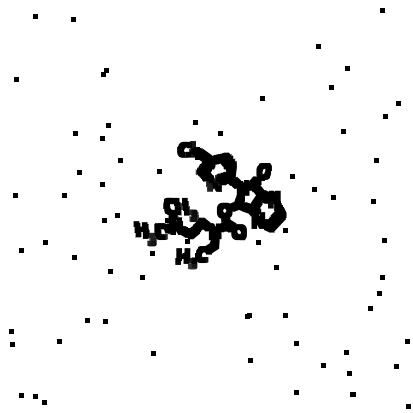 CCN(CCN(C)C)C(=O)OC1c2nccnc2C(=O)N1c1ccc(Cl)cn1